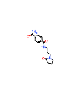 NC(=O)c1ccc(C(=O)NCCCN2CCCC2=O)cc1